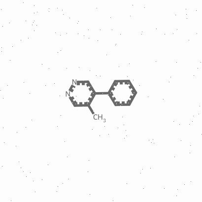 Cc1cnncc1-c1ccccc1